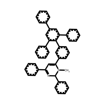 CN1C(c2cccc(-c3c(-c4ccccc4)cc(-c4ccccc4)cc3-c3ccccc3)c2)=CC(c2ccccc2)=NC1c1ccccc1